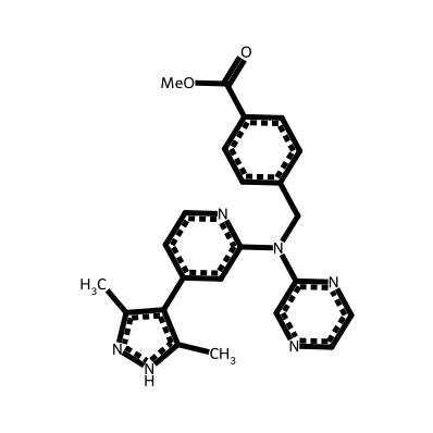 COC(=O)c1ccc(CN(c2cnccn2)c2cc(-c3c(C)n[nH]c3C)ccn2)cc1